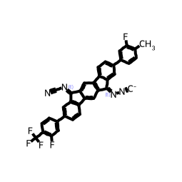 [C-]#[N+]/N=c1\c2cc(-c3ccc(C)c(F)c3)ccc2c2cc3/c(=N/C#N)c4cc(-c5ccc(C(F)(F)F)c(F)c5)ccc4c3cc12